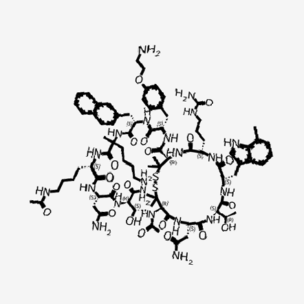 CC(=O)NCCCC[C@H](NC(=O)C(C)(CCCCN)NC(=O)[C@H](Cc1ccc2ccccc2c1)NC(=O)[C@H](Cc1ccc(OCCN)cc1)NC(=O)[C@H]1NC(=O)[C@H](CCCNC(N)=O)NC(=O)[C@H](Cc2c[nH]c3c(C)cccc23)NC(=O)[C@H]([C@@H](C)O)NC(=O)[C@H](CC(N)=O)NC(=O)[C@@H](NC(C)=O)C(C)(C)SSC1(C)C)C(=O)N[C@@H](CC(N)=O)C(=O)N[C@@H](C(N)=O)[C@H](C)O